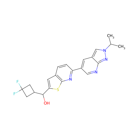 CC(C)n1cc2cc(-c3ccc4cc(C(O)C5CC(F)(F)C5)sc4n3)cnc2n1